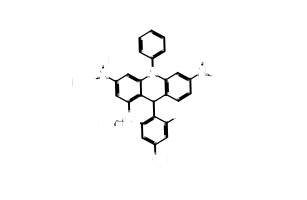 COc1cc(N(C)C)cc2c1C(c1c(C)cc(C)cc1C)c1ccc(N(C)C)cc1N2c1ccccc1